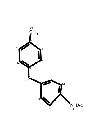 CC(=O)Nc1ccc(Sc2ccc(C)cc2)cc1